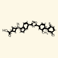 Cc1cc(-c2nc(-c3ccc4c(c3)CCC4NC3CC(C(=O)O)C3)no2)ccc1-c1cc(Cl)ccc1F